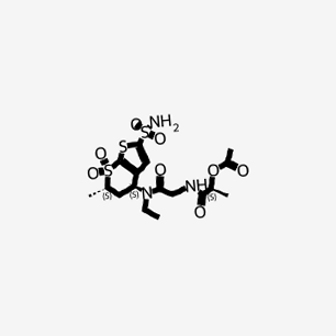 CCN(C(=O)CNC(=O)[C@H](C)OC(C)=O)[C@H]1C[C@H](C)S(=O)(=O)c2sc(S(N)(=O)=O)cc21